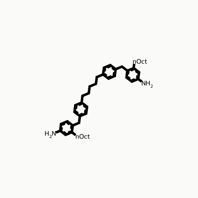 CCCCCCCCc1cc(N)ccc1Cc1ccc(CCCCCc2ccc(Cc3ccc(N)cc3CCCCCCCC)cc2)cc1